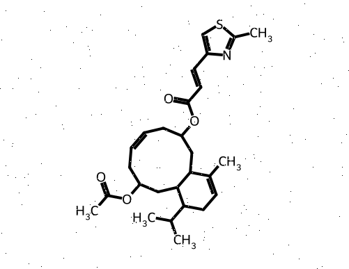 CC(=O)OC1CC=CCC(OC(=O)C=Cc2csc(C)n2)CC2C(C)=CCC(C(C)C)C2C1